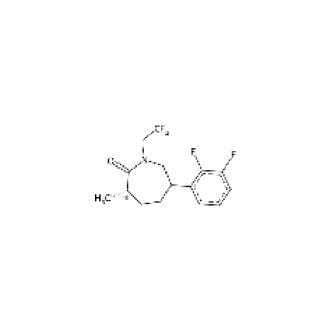 C[C@H]1CCC(c2cccc(F)c2F)CN(CC(F)(F)F)C1=O